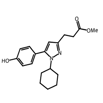 COC(=O)CCc1cc(-c2ccc(O)cc2)n(C2CCCCC2)n1